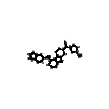 O=C(C1CCc2c(sc3ncnc(Nc4ccc5[nH]ncc5c4)c23)C1)N1CCC(O)C1